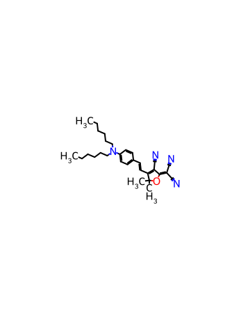 CCCCCCN(CCCCCC)c1ccc(C=CC2=C(C#N)C(=C(C#N)C#N)OC2(C)C)cc1